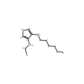 CCCCCCOc1cscc1OCC